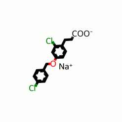 O=C([O-])CCc1ccc(OCc2ccc(Cl)cc2)cc1Cl.[Na+]